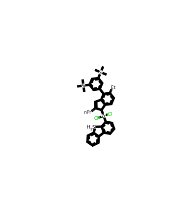 CCCC1=Cc2c(ccc(CC)c2-c2cc([Si](C)(C)C)cc([Si](C)(C)C)c2)[CH]1[Zr]([Cl])([Cl])[c]1cccc2c1[SiH2]c1ccccc1-2